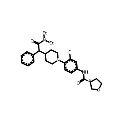 CCN(CC)C(=O)C(c1ccccc1)C1CCN(c2ccc(NC(=O)[C@H]3CCOC3)cc2F)CC1